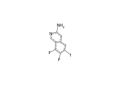 Nc1cc2cc(I)c(F)c(F)c2cn1